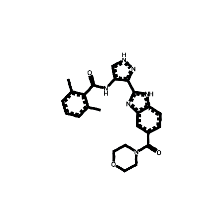 Cc1cccc(C)c1C(=O)Nc1c[nH]nc1-c1nc2cc(C(=O)N3CCOCC3)ccc2[nH]1